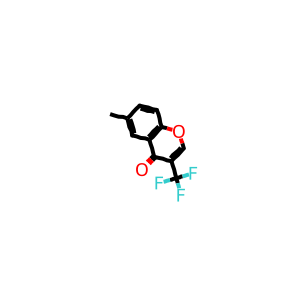 Cc1ccc2occ(C(F)(F)F)c(=O)c2c1